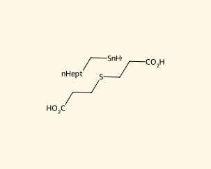 CCCCCCC[CH2][SnH].O=C(O)CCSCCC(=O)O